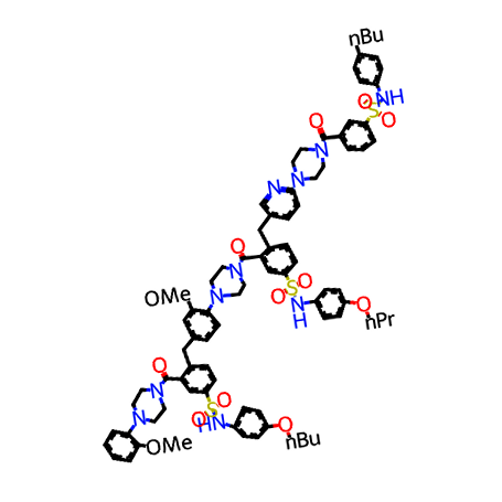 CCCCOc1ccc(NS(=O)(=O)c2ccc(Cc3ccc(N4CCN(C(=O)c5cc(S(=O)(=O)Nc6ccc(OCCC)cc6)ccc5Cc5ccc(N6CCN(C(=O)c7cccc(S(=O)(=O)Nc8ccc(CCCC)cc8)c7)CC6)nc5)CC4)c(OC)c3)c(C(=O)N3CCN(c4ccccc4OC)CC3)c2)cc1